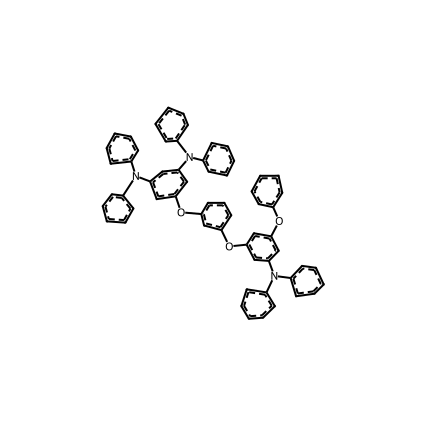 c1ccc(Oc2cc(Oc3cccc(Oc4cc(N(c5ccccc5)c5ccccc5)cc(N(c5ccccc5)c5ccccc5)c4)c3)cc(N(c3ccccc3)c3ccccc3)c2)cc1